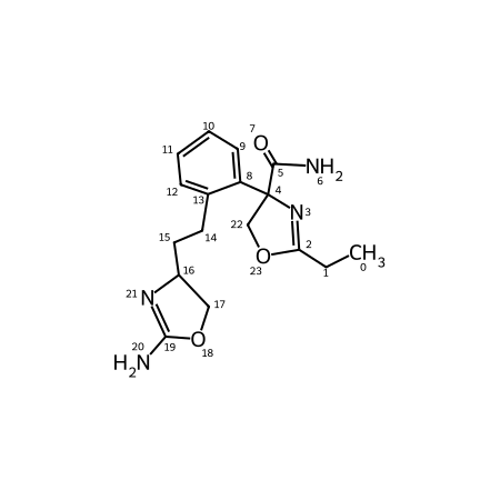 CCC1=NC(C(N)=O)(c2ccccc2CCC2COC(N)=N2)CO1